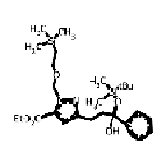 CCOC(=O)c1cc(CC[C@](O)(O[Si](C)(C)C(C)(C)C)c2ccccc2)nn1COCC[Si](C)(C)C